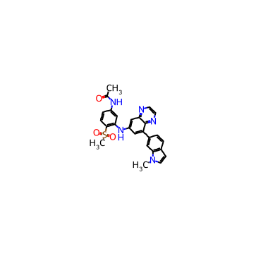 CC(=O)Nc1ccc(S(C)(=O)=O)c(Nc2cc(-c3ccc4ccn(C)c4c3)c3nccnc3c2)c1